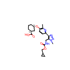 Cc1nc(-c2nnn(C)c2CNC(=O)OCC2CC2)ccc1O[C@H]1CCC[C@H](C(=O)O)C1